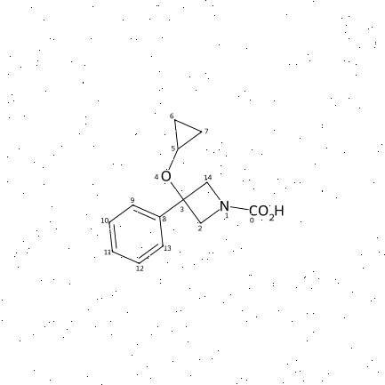 O=C(O)N1CC(OC2CC2)(c2ccccc2)C1